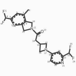 Cc1cc(C(F)F)nc2c1CN(C(=O)CC1CN(c3ccnc(C(F)F)c3)C1)C2